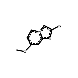 COc1ccn2cc(Br)nc2c1